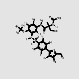 [2H]Cc1oc(-c2c([2H])c([2H])c(S(=O)(=O)N([2H])c3c([2H])c(N([2H])C(=O)C(C)(CO)N([2H])C(=O)O)c([2H])c([2H])c3OC([2H])([2H])[2H])c([2H])c2F)c([2H])c1[2H]